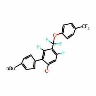 CCCCc1ccc(-c2c([O])cc(F)c(C(F)(F)Oc3ccc(C(F)(F)F)cc3)c2F)cc1